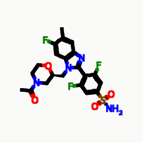 CC(=O)N1CCO[C@@H](Cn2c(-c3c(F)cc(S(N)(=O)=O)cc3F)nc3cc(C)c(F)cc32)C1